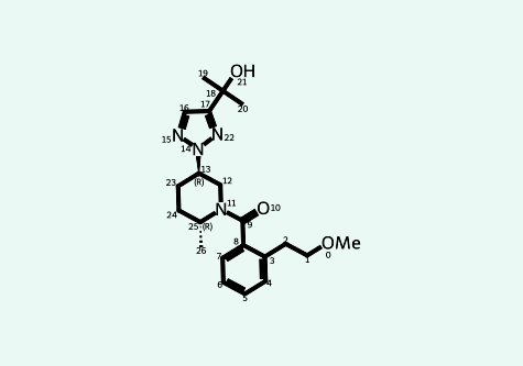 COCCc1ccccc1C(=O)N1C[C@H](n2ncc(C(C)(C)O)n2)CC[C@H]1C